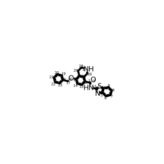 O=C(Nc1nc2ccccc2s1)c1ccc(OCc2ccccc2)c2c1CNCC2